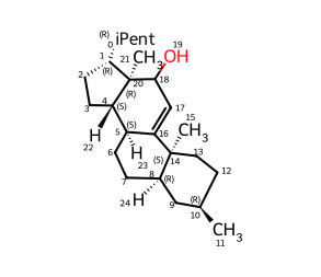 CCC[C@@H](C)[C@H]1CC[C@H]2[C@@H]3CC[C@@H]4C[C@H](C)CC[C@]4(C)C3=CC(O)[C@]12C